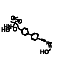 CC(CCc1ccc(-c2ccc(C#C[C@@H]3C[C@@H]3CO)cc2)cc1)(C(=O)NO)S(C)(=O)=O